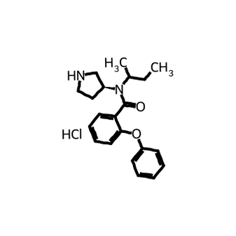 CCC(C)N(C(=O)c1ccccc1Oc1ccccc1)[C@H]1CCNC1.Cl